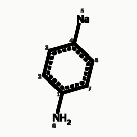 Nc1cc[c]([Na])cc1